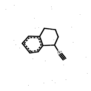 C#[N+]C1CCCc2ccccc21